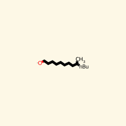 CCCCC(C)CCCCCCCC[O]